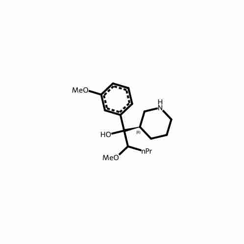 CCCC(OC)C(O)(c1cccc(OC)c1)[C@@H]1CCCNC1